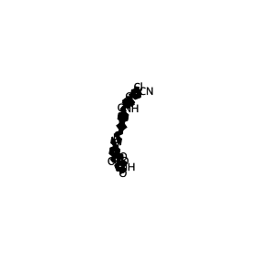 CC1(C)C(NC(=O)c2ccc(N3CC(CCN4CCN(c5ccc6c(c5)C(=O)N(C5CCC(=O)NC5=O)C6=O)CC4)C3)cc2)C(C)(C)C1Oc1ccc(C#N)c(Cl)c1